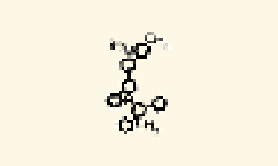 CC1C=Cc2c3c(n(C(C)C)c2C1)CCC(C1=CC2c4ccccc4N(C4=CC(C)(c5ccccc5)CC(c5ccccc5)=C4)C2C=C1)=C3